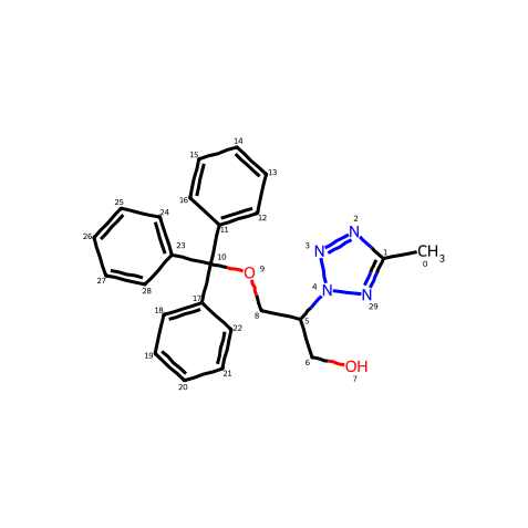 Cc1nnn(C(CO)COC(c2ccccc2)(c2ccccc2)c2ccccc2)n1